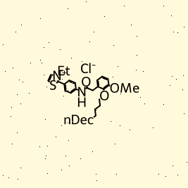 CCCCCCCCCCCCCCOc1c(CC(=O)Nc2ccc(-c3scc[n+]3CC)cc2)cccc1OC.[Cl-]